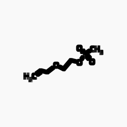 C=CCOCCOS(C)(=O)=O